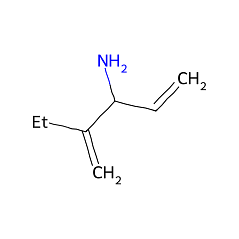 C=CC(N)C(=C)CC